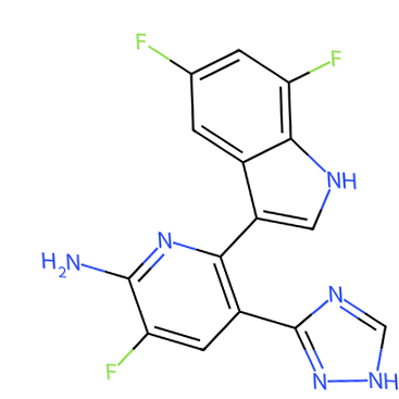 Nc1nc(-c2c[nH]c3c(F)cc(F)cc23)c(-c2nc[nH]n2)cc1F